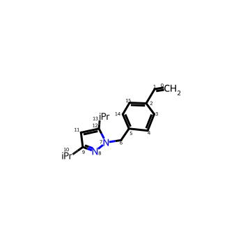 C=Cc1ccc(Cn2nc(C(C)C)cc2C(C)C)cc1